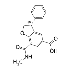 CNC(=O)c1cc(C(=O)O)cc2c1OC[C@@H]2c1ccccc1